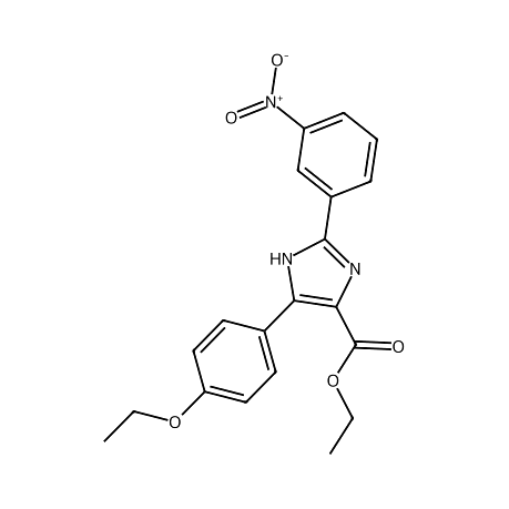 CCOC(=O)c1nc(-c2cccc([N+](=O)[O-])c2)[nH]c1-c1ccc(OCC)cc1